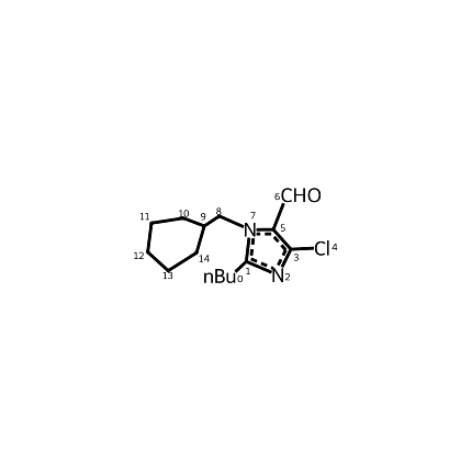 CCCCc1nc(Cl)c(C=O)n1CC1CCCCC1